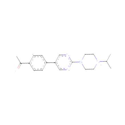 CC(=O)c1ccc(-c2cnc(N3CCN(C(C)C)CC3)nc2)cc1